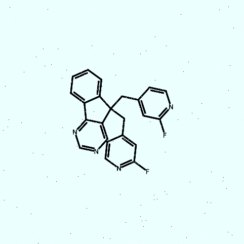 Fc1cc(CC2(Cc3ccnc(F)c3)c3ccccc3-c3ncncc32)ccn1